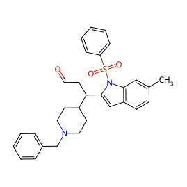 Cc1ccc2cc(C(CC=O)C3CCN(Cc4ccccc4)CC3)n(S(=O)(=O)c3ccccc3)c2c1